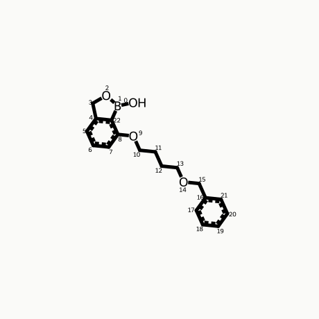 OB1OCc2cccc(OCCCCOCc3ccccc3)c21